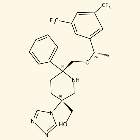 C[C@H](OC[C@]1(c2ccccc2)CC[C@@](CO)(n2cnnc2)CN1)c1cc(C(F)(F)F)cc(C(F)(F)F)c1